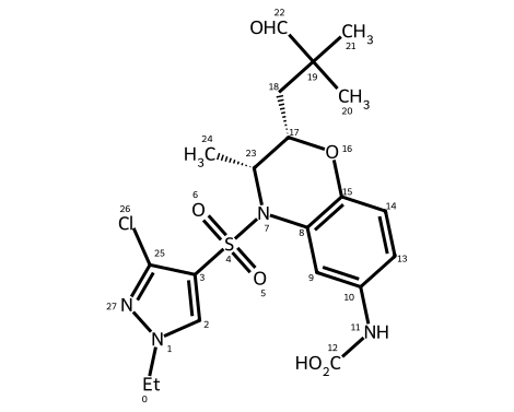 CCn1cc(S(=O)(=O)N2c3cc(NC(=O)O)ccc3O[C@@H](CC(C)(C)C=O)[C@H]2C)c(Cl)n1